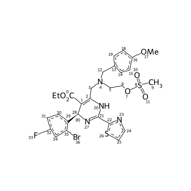 CCOC(=O)C1=C(CN(CCOS(C)(=O)=O)Cc2ccc(OC)cc2)NC(c2nccs2)=N[C@H]1c1ccc(F)cc1Br